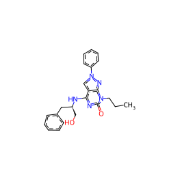 CCCn1c(=O)nc(N[C@@H](CO)Cc2ccccc2)c2cn(-c3ccccc3)nc21